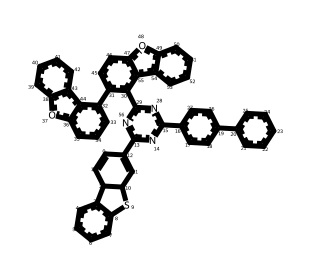 C1=CC2c3ccccc3SC2C=C1c1nc(-c2ccc(-c3ccccc3)cc2)nc(-c2c(-c3cccc4oc5ccccc5c34)ccc3oc4ccccc4c23)n1